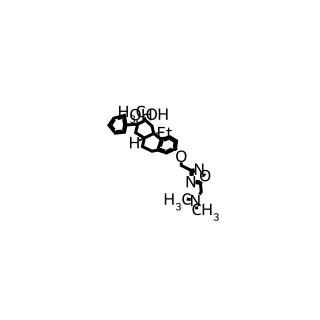 CC[C@@]12CC(C)(O)[C@](O)(c3ccccc3)C[C@H]1CCc1cc(OCc3noc(CN(C)C)n3)ccc12